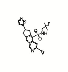 CC(C)(F)CNS(=O)(=O)c1c2c(cc3cnc(C4CC4)cc13)CC(c1ccno1)C2